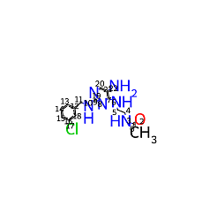 CC(=O)NCCNc1nc(NCc2cccc(Cl)c2)ncc1N